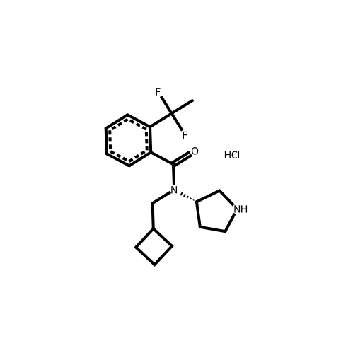 CC(F)(F)c1ccccc1C(=O)N(CC1CCC1)[C@H]1CCNC1.Cl